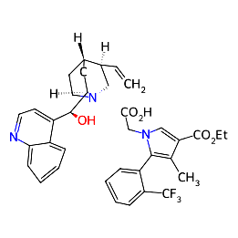 C=C[C@H]1C[N@]2CC[C@H]1C[C@@H]2[C@@H](O)c1ccnc2ccccc12.CCOC(=O)c1cn(CC(=O)O)c(-c2ccccc2C(F)(F)F)c1C